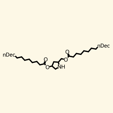 CCCCCCCCCCCCCCCCCC(=O)OCC1CC(OC(=O)CCCCCCCCCCCCCCCCC)CN1